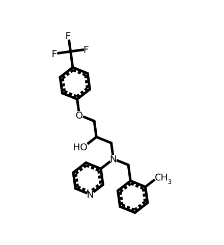 Cc1ccccc1CN(CC(O)COc1ccc(C(F)(F)F)cc1)c1cccnc1